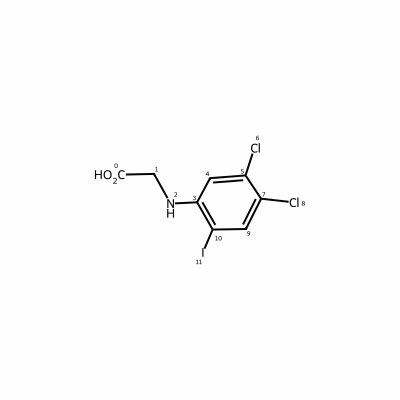 O=C(O)CNc1cc(Cl)c(Cl)cc1I